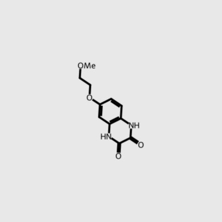 COCCOc1ccc2[nH]c(=O)c(=O)[nH]c2c1